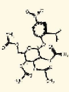 CC(=O)OCC1O[C@@H](Oc2ccc([N+](=O)[O-])cc2C(F)F)C(OC(C)=O)C(OC(C)=O)[C@H]1OC(C)=O